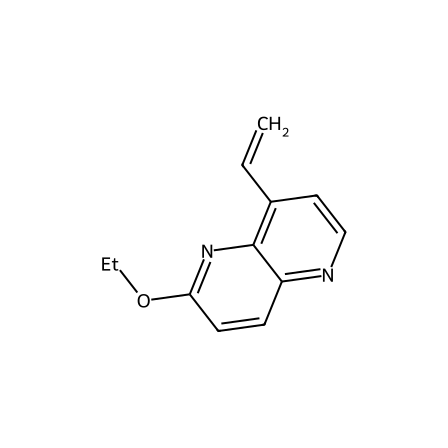 C=Cc1ccnc2ccc(OCC)nc12